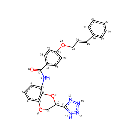 O=C(Nc1cccc2c1OC(c1nnn[nH]1)CO2)c1ccc(OCC=Cc2ccccc2)cc1